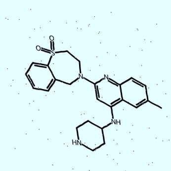 Cc1ccc2nc(N3CCS(=O)(=O)c4ccccc4C3)cc(NC3CCNCC3)c2c1